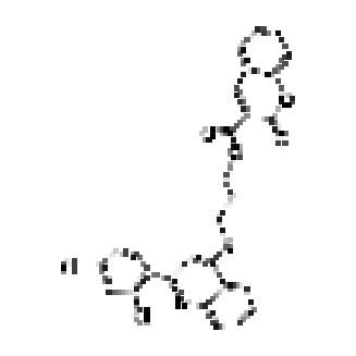 O=C(OCCCSc1cc(-c2ccc(Cl)cc2Cl)nc2ccccc12)c1cc2ccccc2oc1=O